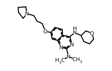 CN(C)c1nc(NC2CCCOC2)c2ccc(OCCCN3CCCC3)cc2n1